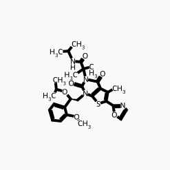 COc1ccccc1[C@H](Cn1c(=O)n(C(C)(C)C(=O)NC(C)C)c(=O)c2c(C)c(-c3ncco3)sc21)OC(C)C